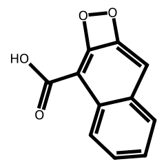 O=C(O)c1c2ccccc2cc2ooc12